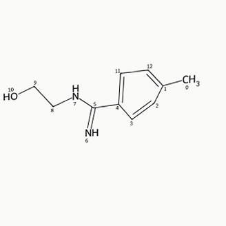 Cc1ccc(C(=N)NCCO)cc1